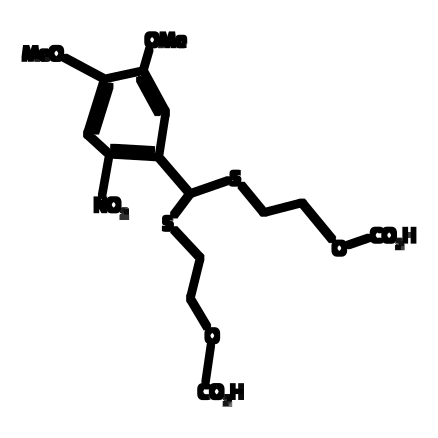 COc1cc(C(SCCOC(=O)O)SCCOC(=O)O)c([N+](=O)[O-])cc1OC